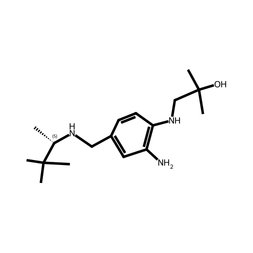 C[C@H](NCc1ccc(NCC(C)(C)O)c(N)c1)C(C)(C)C